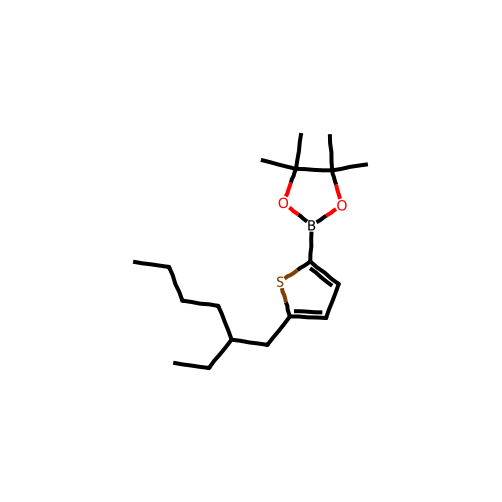 CCCCC(CC)Cc1ccc(B2OC(C)(C)C(C)(C)O2)s1